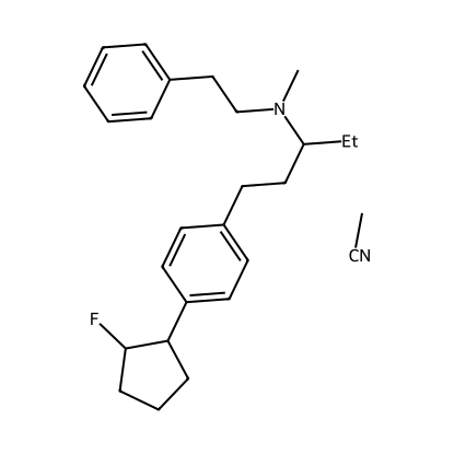 CC#N.CCC(CCc1ccc(C2CCCC2F)cc1)N(C)CCc1ccccc1